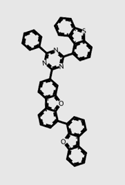 c1ccc(-c2nc(-c3ccc4c(c3)oc3c(-c5cccc6c5oc5ccccc56)cccc34)nc(-c3cccc4sc5ccccc5c34)n2)cc1